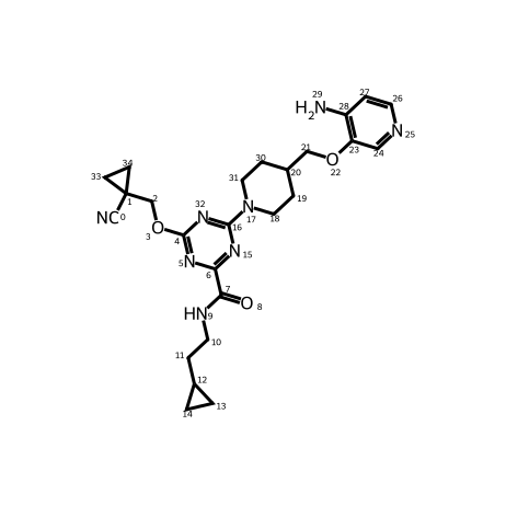 N#CC1(COc2nc(C(=O)NCCC3CC3)nc(N3CCC(COc4cnccc4N)CC3)n2)CC1